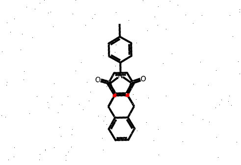 Cc1ccc(N2C(=O)C3=C(C2=O)C2c4ccccc4C3c3ccccc32)cc1